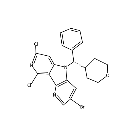 Clc1cc2c(c(Cl)n1)c1ncc(Br)cc1n2[C@H](c1ccccc1)C1CCOCC1